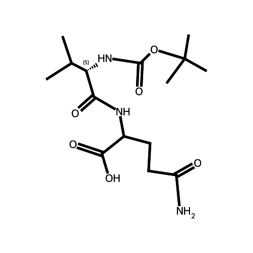 CC(C)[C@H](NC(=O)OC(C)(C)C)C(=O)NC(CCC(N)=O)C(=O)O